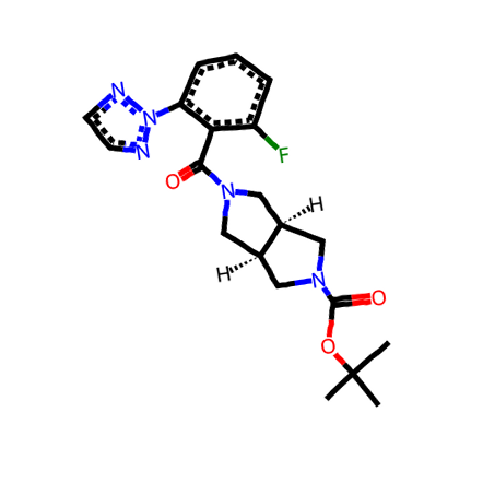 CC(C)(C)OC(=O)N1C[C@@H]2CN(C(=O)c3c(F)cccc3-n3nccn3)C[C@@H]2C1